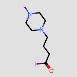 O=C(I)CCCN1CCN(I)CC1